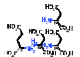 N[C@@H](CC(=O)O)C(=O)O.N[C@@H](CC(=O)O)C(=O)O.N[C@@H](CC(=O)O)C(=O)O.N[C@@H](CCC(=O)O)C(=O)O